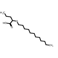 CCCCCCCCCCCCOC(CCC)C(=O)O